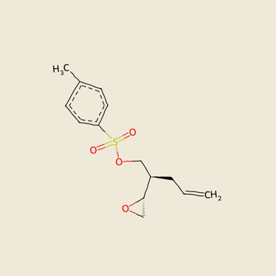 C=CC[C@H](COS(=O)(=O)c1ccc(C)cc1)[C@@H]1CO1